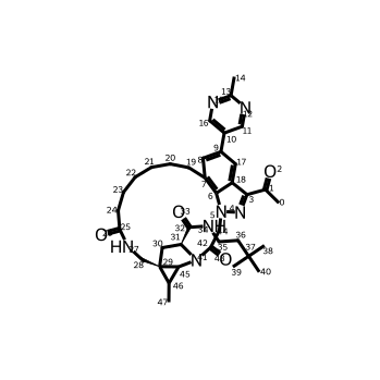 CC(=O)c1nn2c3c(cc(-c4cnc(C)nc4)cc13)CCCCCCC(=O)NC[C@@]13C[C@@H](C(=O)NCCC(C)(C)C)N(C(=O)C2)C1C3C